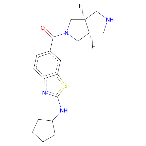 O=C(c1ccc2nc(NC3CCCC3)sc2c1)N1C[C@H]2CNC[C@H]2C1